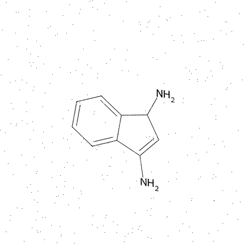 NC1=CC(N)c2ccccc21